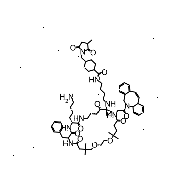 CC1CC(=O)N(CC2CCC(C(=O)NCCCCNC3(C(=O)CCCNC(=O)[C@H](CCCCN)NC(=O)C(Cc4ccccc4)NC(=O)CC(C)(C)COCCOC(C)(C)CCC(=O)NCC(=O)N4Cc5ccccc5/C=C\C5C=CC=CC54)CC3)CC2)C1=O